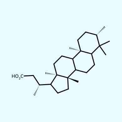 C[C@H](CC(=O)O)C1CC[C@@]2(C)C3CCC4C(C)(C)[C@@H](C)CC[C@]4(C)C3CC[C@]12C